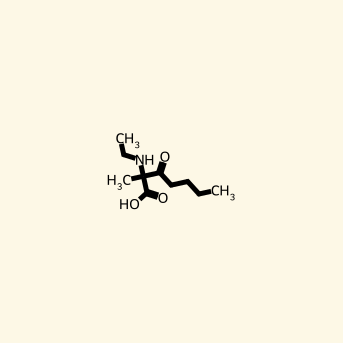 CCCCC(=O)C(C)(NCC)C(=O)O